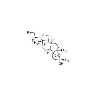 C[C@@]1(O)CC[C@]2(C)[C@H]3CC[C@]4(C)[C@@H](C(=O)CBr)CC[C@H]4[C@@H]3CC[C@]2(C)C1